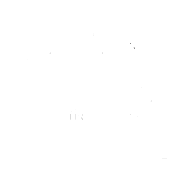 CCOC(=O)c1c(-c2cccnc2OC)c2oc3ccccc3c2[nH]c1=O